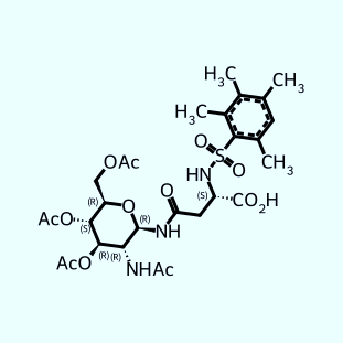 CC(=O)N[C@@H]1[C@@H](OC(C)=O)[C@H](OC(C)=O)[C@@H](COC(C)=O)O[C@H]1NC(=O)C[C@H](NS(=O)(=O)c1c(C)cc(C)c(C)c1C)C(=O)O